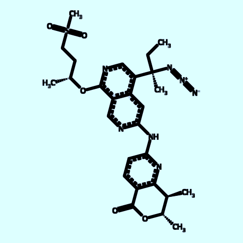 CC[C@@](C)(N=[N+]=[N-])c1cnc(O[C@H](C)CCS(C)(=O)=O)c2cnc(Nc3ccc4c(n3)[C@@H](C)[C@H](C)OC4=O)cc12